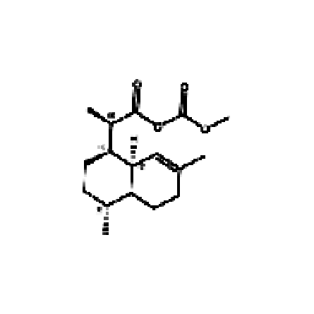 COC(=O)OC(=O)[C@H](C)[C@@H]1CC[C@@H](C)C2CCC(C)=C[C@@H]21